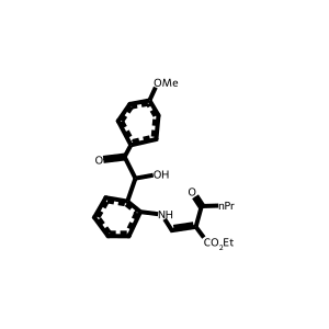 CCCC(=O)C(=CNc1ccccc1C(O)C(=O)c1ccc(OC)cc1)C(=O)OCC